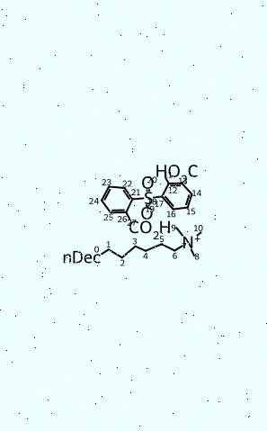 CCCCCCCCCCCCCCCC[N+](C)(C)C.O=C(O)c1ccccc1S(=O)(=O)c1ccccc1C(=O)O